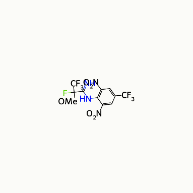 COC(F)(C(=N)Nc1c([N+](=O)[O-])cc(C(F)(F)F)cc1[N+](=O)[O-])C(F)(F)F